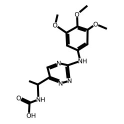 COc1cc(Nc2ncc(C(C)NC(=O)O)nn2)cc(OC)c1OC